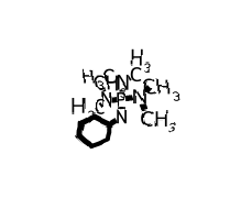 CN(C)P(=NC1CCCCC1)(N(C)C)N(C)C